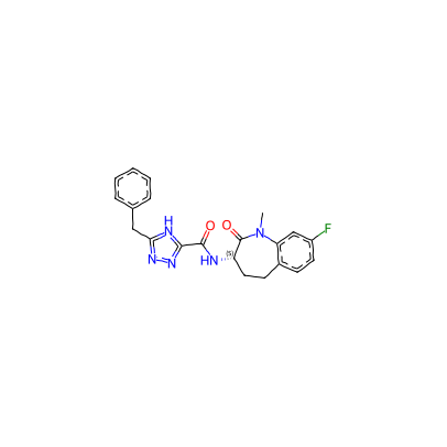 CN1C(=O)[C@@H](NC(=O)c2nnc(Cc3ccccc3)[nH]2)CCc2ccc(F)cc21